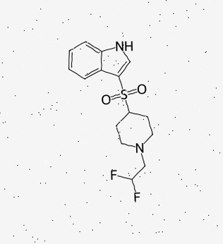 O=S(=O)(c1c[nH]c2ccccc12)C1CCN(CC(F)F)CC1